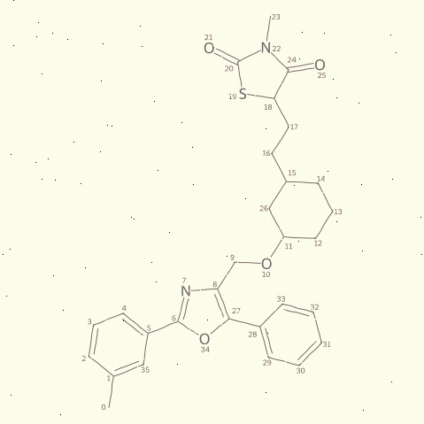 Cc1cccc(-c2nc(COC3CCCC(CCC4SC(=O)N(C)C4=O)C3)c(-c3ccccc3)o2)c1